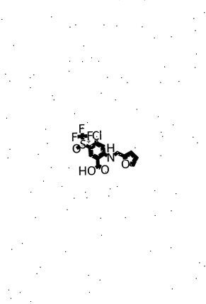 O=C(O)c1cc([S+]([O-])C(F)(F)F)c(Cl)cc1NCc1ccco1